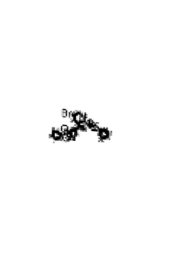 O=S(=O)(c1ccccc1)n1cc(-c2cn(OOSc3ccccc3)c3ncc(Br)cc23)cn1